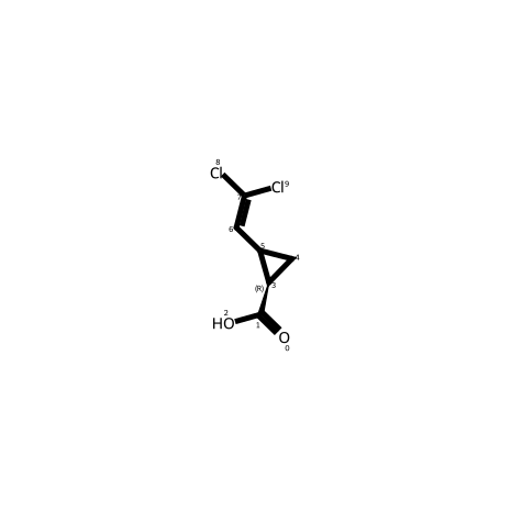 O=C(O)[C@@H]1CC1C=C(Cl)Cl